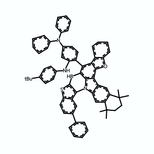 CC(C)(C)c1ccc(Nc2cc(N(c3ccccc3)c3ccccc3)ccc2-c2c3c4c(c5cc6c(cc5n4-c4c(sc5ccc(-c7ccccc7)cc45)B3)C(C)(C)CCC6(C)C)c3oc4ccccc4c23)cc1